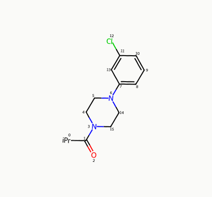 CC(C)C(=O)N1CCN(c2cccc(Cl)c2)CC1